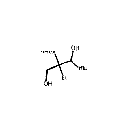 CCCCCCC(CC)(CO)C(O)C(C)(C)C